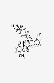 Cc1cc[n+](C)c(NC(=O)[C@H](Cc2ccccc2)n2cc(-c3ccc(S(N)(=O)=O)cc3)nn2)c1.[I-]